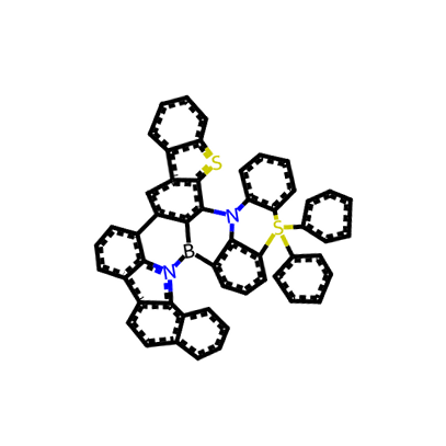 c1ccc(S2(c3ccccc3)c3ccccc3N3c4c(cccc42)B2c4c(cc5c(sc6ccccc65)c43)-c3cccc4c5ccc6ccccc6c5n2c34)cc1